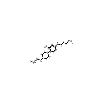 CCCCCc1ccc(C2CCC(CCC)CC2)c(F)c1